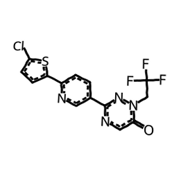 O=c1cnc(-c2ccc(-c3ccc(Cl)s3)nc2)nn1CC(F)(F)F